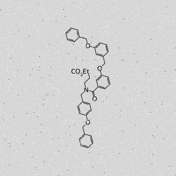 CCOC(=O)CCN(Cc1ccc(OCc2ccccc2)cc1)C(=O)c1cccc(OCc2cccc(OCc3ccccc3)c2)c1